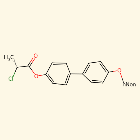 CCCCCCCCCOc1ccc(-c2ccc(OC(=O)[C@@H](C)Cl)cc2)cc1